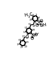 Cc1ccc(S(=O)(=O)O)c(CCc2ccc(OCc3ccccc3)c([N+](=O)[O-])c2)c1